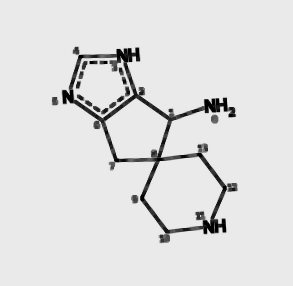 NC1c2[nH]cnc2CC12CCNCC2